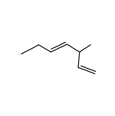 [CH2]CC=CC(C)C=C